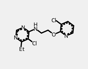 CCc1ncnc(NCCOc2ncccc2Cl)c1Cl